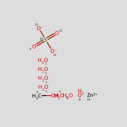 CO.O.O.O.O.O.O.O.O=S(=O)([O-])[O-].[Zn+2]